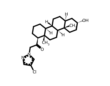 C[C@]12CC[C@@H](O)C[C@@H]1CC[C@@H]1[C@@H]2CC[C@]2(C)[C@@H](C(=O)Cn3cc(Cl)cn3)CCC[C@@H]12